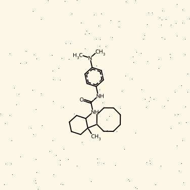 CN(C)c1ccc(NC(=O)NC2CCCCC2(C)C2CCCCCCC2)cc1